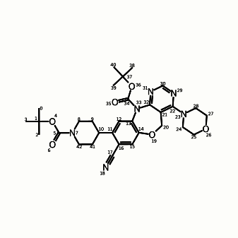 CC(C)(C)OC(=O)N1CCC(c2cc3c(cc2C#N)OCc2c(N4CCOCC4)ncnc2N3C(=O)OC(C)(C)C)CC1